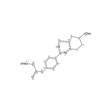 CCCCCCCCCCC1CCc2nc(-c3ccc(OC(=O)OCCCCCC)cc3)ncc2C1